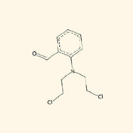 O=Cc1ccccc1N(CCCl)CCCl